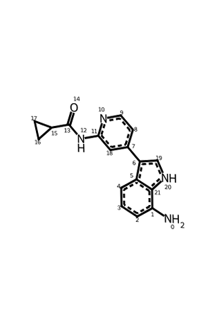 Nc1cccc2c(-c3ccnc(NC(=O)C4CC4)c3)c[nH]c12